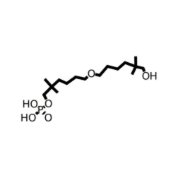 CC(C)(CO)CCCCOCCCCC(C)(C)COP(=O)(O)O